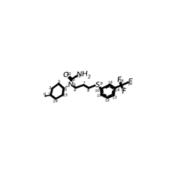 C[C@H]1CC[C@H](N(CCCSc2cccc(C(F)(F)F)c2)C(N)=O)CC1